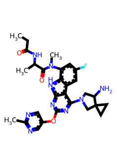 CCC(=O)NC(C)C(=O)N(C)c1cc(F)cc2c1[nH]c1nc(Oc3cnc(C)nc3)nc(N3CC(N)C4(CC4)C3)c12